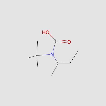 CCC(C)N(C(=O)O)C(C)(C)C